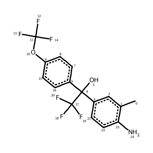 Cc1cc(C(O)(c2ccc(OC(F)(F)F)cc2)C(F)(F)F)ccc1N